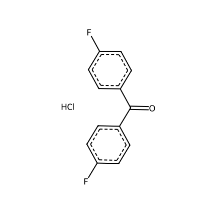 Cl.O=C(c1ccc(F)cc1)c1ccc(F)cc1